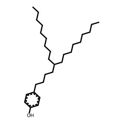 CCCCCCCCCC(CCCCCCCCC)CCCCc1ccc(O)cc1